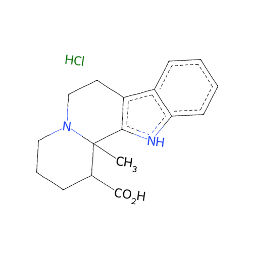 CC12c3[nH]c4ccccc4c3CCN1CCCC2C(=O)O.Cl